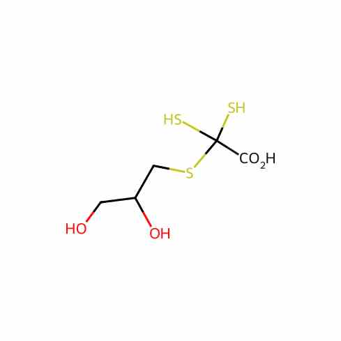 O=C(O)C(S)(S)SCC(O)CO